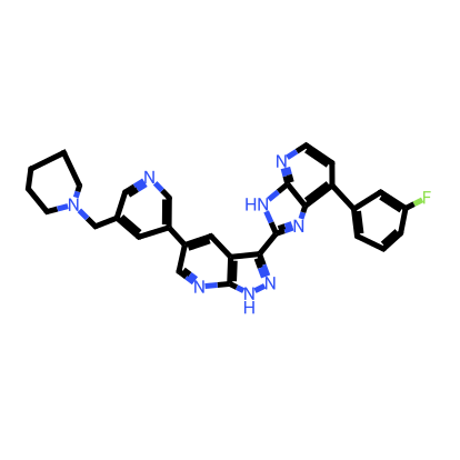 Fc1cccc(-c2ccnc3[nH]c(-c4n[nH]c5ncc(-c6cncc(CN7CCCCC7)c6)cc45)nc23)c1